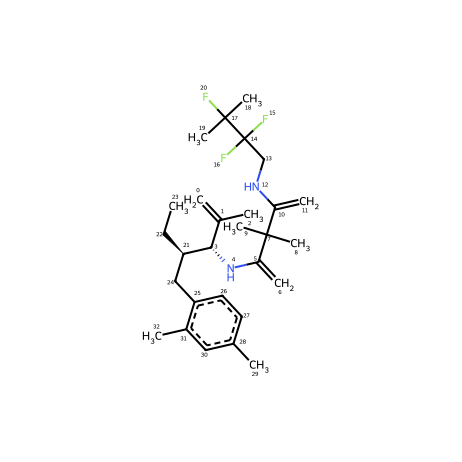 C=C(C)[C@H](NC(=C)C(C)(C)C(=C)NCC(F)(F)C(C)(C)F)[C@H](CC)Cc1ccc(C)cc1C